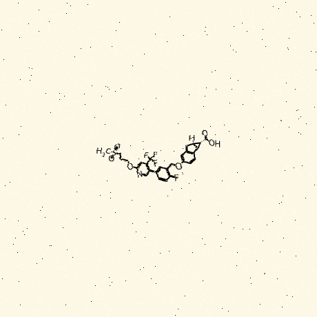 CS(=O)(=O)CCCOc1cc(C(F)(F)F)c(-c2ccc(F)c(COc3ccc4c(c3)C[C@@H]3C4[C@H]3C(=O)O)c2)cn1